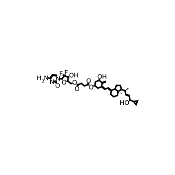 C=C1/C(=C\C=C2/CCC[C@@]3(C)C2CCC3[C@@H](C)/C=C/C(O)C2CC2)CC(OC(=O)CCC(=O)OCC2OC(n3ccc(N)nc3=O)C(F)(F)C2O)CC1O